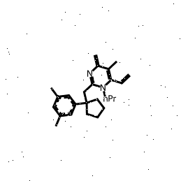 C=CC1=C(C)C(=C)N=C(CC2(c3cc(C)cc(C)c3)CCCC2)N1CCC